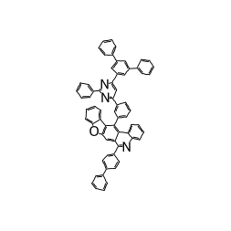 c1ccc(-c2ccc(-c3nc4ccccc4c4c(-c5cccc(-c6cc(-c7cc(-c8ccccc8)cc(-c8ccccc8)c7)nc(-c7ccccc7)n6)c5)c5c(cc34)oc3ccccc35)cc2)cc1